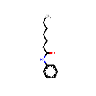 CCCCC[CH]C(=O)Nc1ccccc1